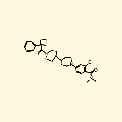 CN(C)C(=O)c1ccc(N2CCC(C3CCN(C(=O)C4(c5ccccc5)CCC4)CC3)CC2)cc1Cl